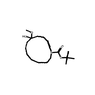 COC1(O)CCCCCCCN(C(=O)OC(C)(C)C)CCCC1